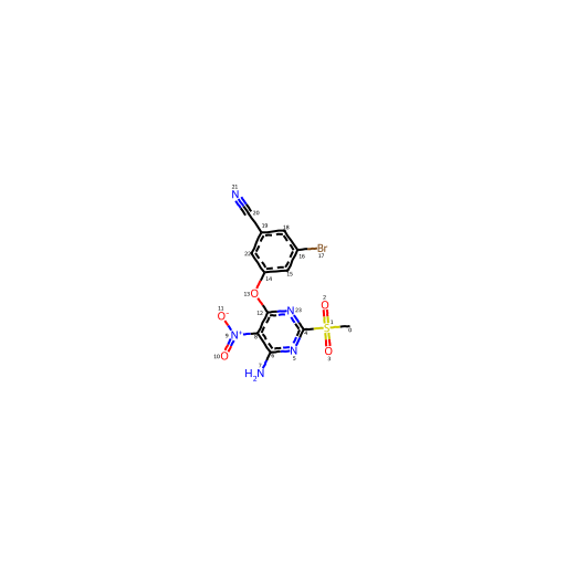 CS(=O)(=O)c1nc(N)c([N+](=O)[O-])c(Oc2cc(Br)cc(C#N)c2)n1